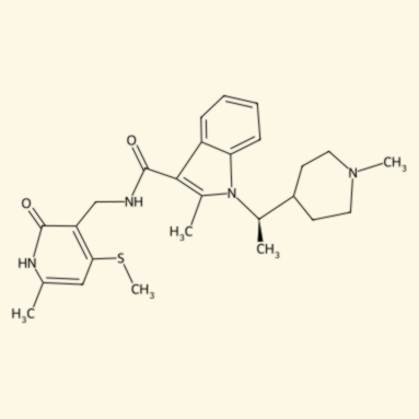 CSc1cc(C)[nH]c(=O)c1CNC(=O)c1c(C)n([C@H](C)C2CCN(C)CC2)c2ccccc12